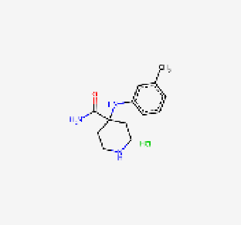 Cc1cccc(NC2(C(N)=O)CCNCC2)c1.Cl